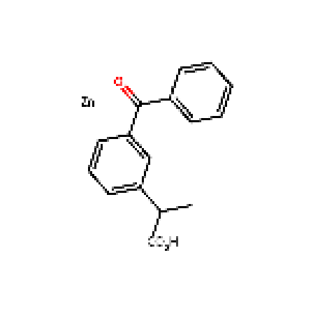 CC(C(=O)O)c1cccc(C(=O)c2ccccc2)c1.[Zn]